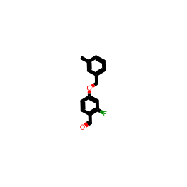 Cc1cccc(COc2ccc(C=O)c(F)c2)c1